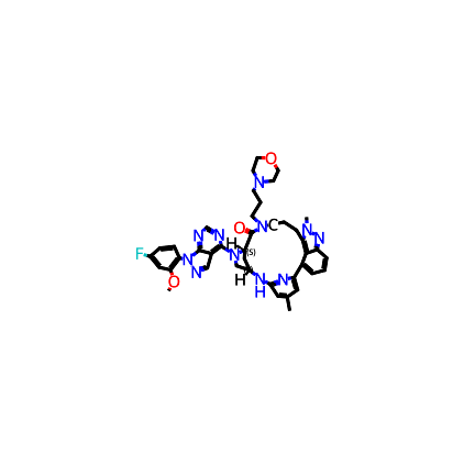 COc1cc(F)ccc1-n1ncc2c(N3C[C@@H]4C[C@H]3C(=O)N(CCCN3CCOCC3)CCCc3c5c(cccc5nn3C)-c3cc(C)cc(n3)N4)ncnc21